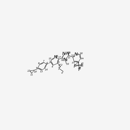 CCSc1cc(-c2ccc(C3CC3)cc2)cnc1-c1nnc(-c2cc(C(F)(F)F)ccn2)n1C